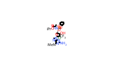 CNc1nc(N)nc2c1ncn2[C@@H]1O[C@H](CO[P@@](=O)(NC(C)C(=O)OC(C)C)Oc2ccccc2)[C@@H](O)[C@]1(Cl)C(F)(F)F